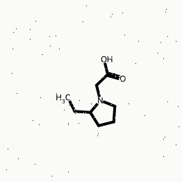 CCC1CCCN1CC(=O)O